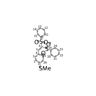 CSc1ccc(C=C(S(=O)(=O)c2ccccc2)S(=O)(=O)c2ccccc2)cc1